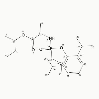 CCC(C)OC(=O)C(C)NP(=O)(COC)Oc1c(C(C)C)cccc1C(C)C